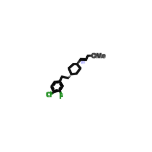 COC/C=C/[C@H]1CC[C@H](CCc2ccc(Cl)c(F)c2)CC1